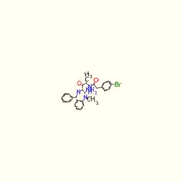 CC(NC(=O)Cc1ccc(Br)cc1)C(=O)C1N=C(c2ccccc2)c2ccccc2N(C)[C@@H]1N